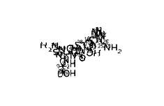 CC(C)(ON=C(C(=O)NC1C(=O)N2C(C(=O)O)=C(CSc3nnnn3CCN)CS[C@@H]12)c1nsc(N)n1)C(=O)O